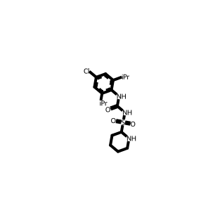 CC(C)c1cc(Cl)cc(C(C)C)c1NC(=O)NS(=O)(=O)C1CCCCN1